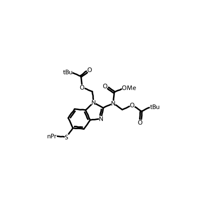 CCCSc1ccc2c(c1)nc(N(COC(=O)C(C)(C)C)C(=O)OC)n2COC(=O)C(C)(C)C